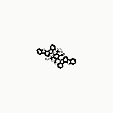 CC(C)(C)c1c(C#N)c(-n2c3ccccc3c3c4sc5ccccc5c4ccc32)c(C#N)c(C(C)(C)C)c1-n1c2ccccc2c2c3sc4ccccc4c3ccc21